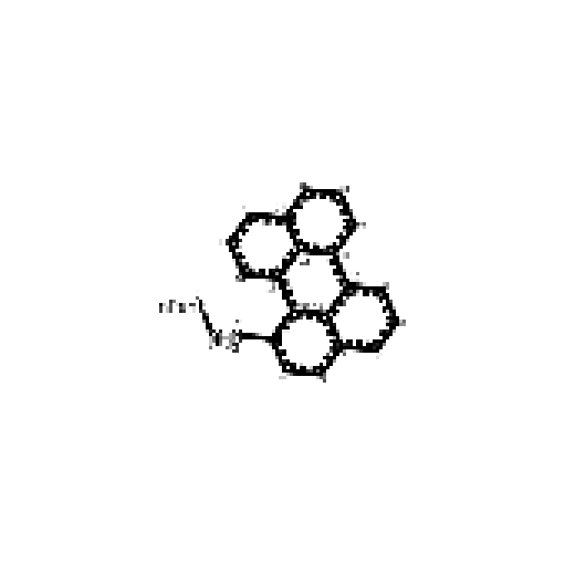 CCCCCN.O=[N+]([O-])c1ccc2cccc3c4cccc5cccc(c1c23)c54